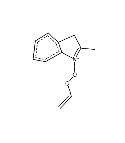 C=COO[N+]1=C(C)Cc2ccccc21